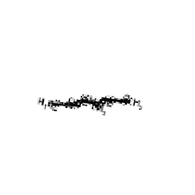 C=CC(=O)OCCCCOC(=O)Oc1ccc(C(=O)O/C(C)=C/C=C(\C)OC(=O)c2ccc(OC(=O)OCCCCOC(=O)C=C)cc2)cc1